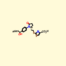 CCCCCCC(O)c1ccc(N2C(=O)CC[C@@H]2CCSc2nc(C(=O)O)cs2)cc1